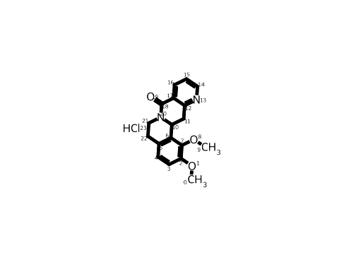 COc1ccc2c(c1OC)C1Cc3ncccc3C(=O)N1CC2.Cl